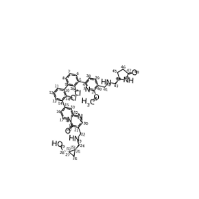 COc1nc(-c2cccc(-c3cccc(-c4ccn5c(=O)c(CNC[C@H]6C[C@@H]6CO)cnc5c4)c3Cl)c2Cl)ccc1CNC[C@H]1CCC(=O)N1